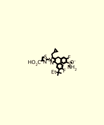 CCC(C)(C)c1cc(-c2nn(-c3nc(C(=O)O)cs3)c(CC3CC3)c2Cc2ccc([S+](N)[O-])c(F)c2)ccc1F